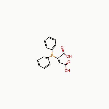 O=C(O)C=C(C(=O)O)P(c1ccccc1)c1ccccc1